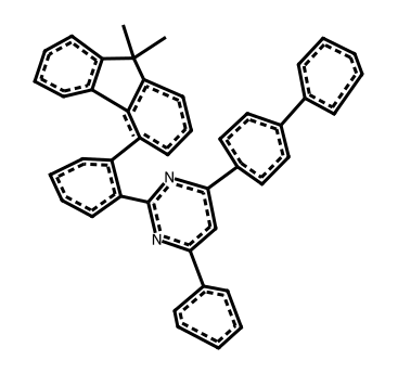 CC1(C)c2ccccc2-c2c(-c3ccccc3-c3nc(-c4ccccc4)cc(-c4ccc(-c5ccccc5)cc4)n3)cccc21